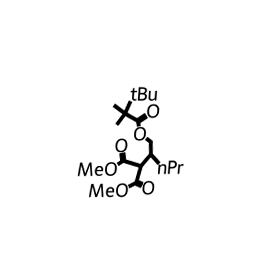 CCCC(COC(=O)C(C)(C)C(C)(C)C)C(C(=O)OC)C(=O)OC